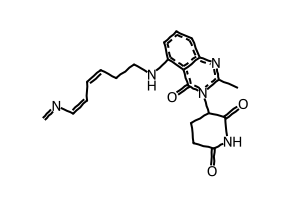 C=N/C=C\C=C/CCNc1cccc2nc(C)n(C3CCC(=O)NC3=O)c(=O)c12